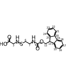 O=C(O)CNSCCNC(=O)OCC1c2ccccc2-c2ccccc21